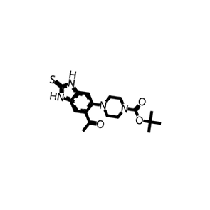 CC(=O)c1cc2[nH]c(=S)[nH]c2cc1N1CCN(C(=O)OC(C)(C)C)CC1